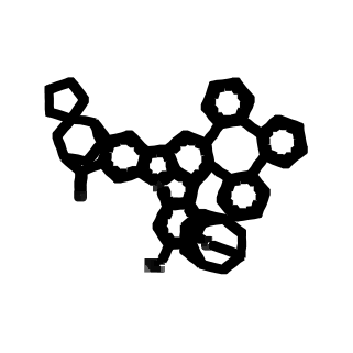 N#Cc1cc2c(c3c1C1CC4CC(C1)CC3C4)c1c3c(cc4c5cc6c(cc5n2c41)C(=O)C1CCC6C2(CCCC2)C1)-c1ccccc1-c1ccccc1-c1ccccc1-3